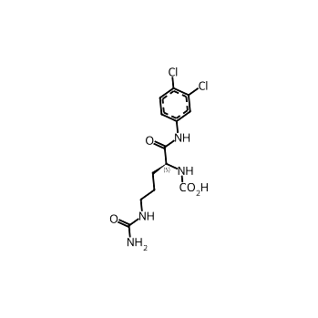 NC(=O)NCCC[C@H](NC(=O)O)C(=O)Nc1ccc(Cl)c(Cl)c1